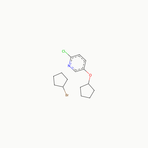 BrC1CCCC1.Clc1ccc(OC2CCCC2)cn1